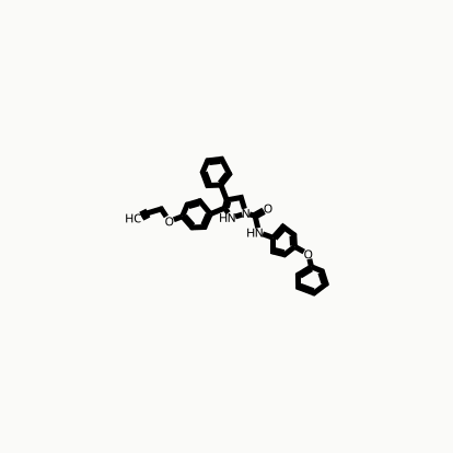 C#CCOc1ccc(C2=C(c3ccccc3)CN(C(=O)Nc3ccc(Oc4ccccc4)cc3)N2)cc1